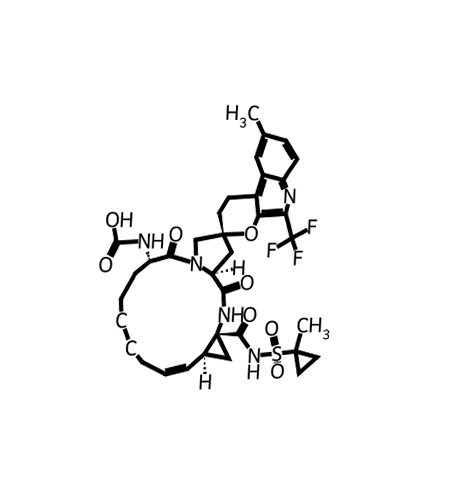 Cc1ccc2nc(C(F)(F)F)c3c(c2c1)CC[C@]1(C[C@H]2C(=O)N[C@]4(C(=O)NS(=O)(=O)C5(C)CC5)C[C@H]4C=CCCCCC[C@H](NC(=O)O)C(=O)N2C1)O3